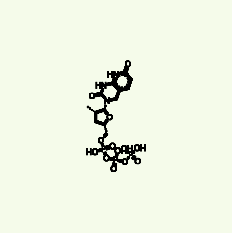 C[C@H]1C[C@@H](COP(=O)(O)OP(=O)(O)OP(=O)(O)O)O[C@H]1N1Cc2ccc(=O)[nH]c2NC1=O